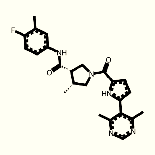 Cc1cc(NC(=O)[C@@H]2CN(C(=O)c3ccc(-c4c(C)ncnc4C)[nH]3)C[C@@H]2C)ccc1F